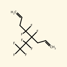 C=CCC(F)(F)C(F)(CC=C)C(F)(F)C(F)(F)F